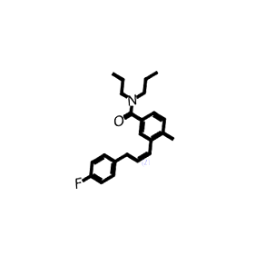 CCCN(CCC)C(=O)c1ccc(C)c(/C=C\Cc2ccc(F)cc2)c1